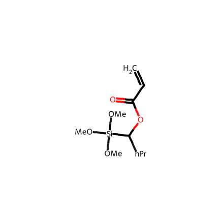 C=CC(=O)OC(CCC)[Si](OC)(OC)OC